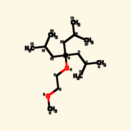 COCCO[Si](CC(C)C)(CC(C)C)CC(C)C